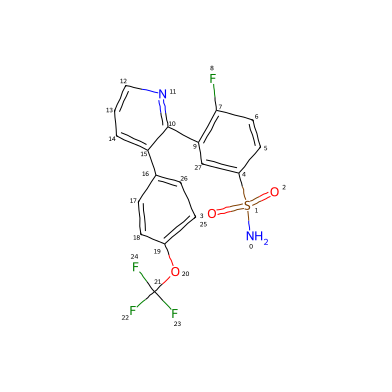 NS(=O)(=O)c1ccc(F)c(-c2ncccc2-c2ccc(OC(F)(F)F)cc2)c1